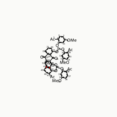 COc1ccc(C(C)=O)c(OP(Oc2cc(OC)ccc2C(C)=O)Oc2cccc3c2C(=O)c2c(OP(Oc4cc(OC)ccc4C(C)=O)Oc4cc(OC)ccc4C(C)=O)cccc2C3=O)c1